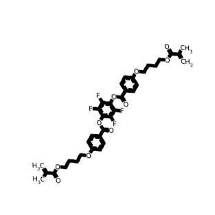 C=C(C)C(=O)OCCCCOc1ccc(C(=O)Oc2c(F)c(F)c(OC(=O)c3ccc(OCCCCOC(=O)C(=C)C)cc3)c(F)c2F)cc1